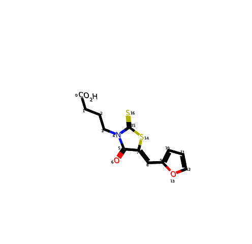 O=C(O)CCCN1C(=O)C(=Cc2ccco2)SC1=S